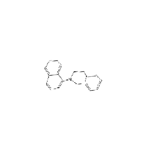 c1ccc2c(c1)CCN(c1cccc3ccccc13)C2